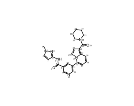 Cn1ccc(NC(=O)c2cncc(-c3cccc4c(C(=O)N5CCCCC5)cnn34)c2)n1